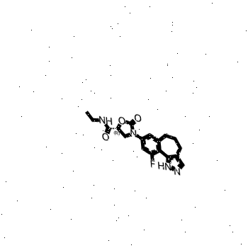 CCNC(=O)[C@H]1CN(c2cc(F)c3c(c2)CCCc2cn[nH]c2-3)C(=O)O1